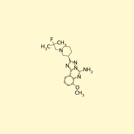 COc1cccc2c1nc(N)n1nc([C@@H]3CCCN(CC(C)(C)F)C3)nc21